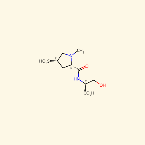 CN1C[C@H](S(=O)(=O)O)C[C@H]1C(=O)N[C@@H](CO)C(=O)O